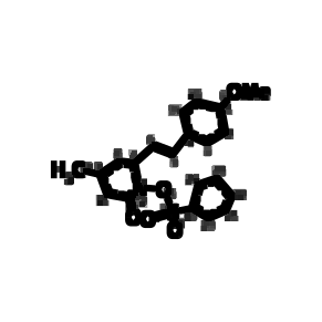 COc1ccc(C=Cc2cc(C)cc(=O)n2OS(=O)(=O)c2ccccc2)cc1